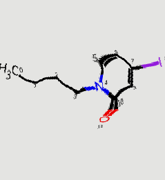 CCCCn1ccc(I)cc1=O